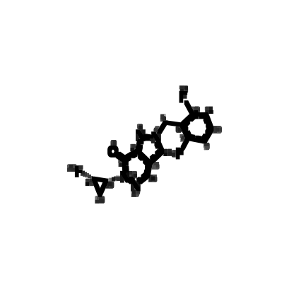 O=c1c2nn(Cc3c(F)cccc3F)cc2cnn1[C@@H]1C[C@@H]1F